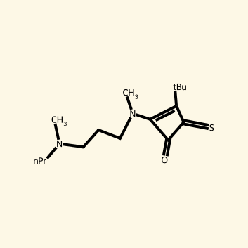 CCCN(C)CCCN(C)c1c(C(C)(C)C)c(=S)c1=O